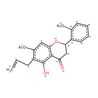 C=CCc1c(OC(C)=O)cc2c(c1O)C(=O)CC(c1ccccc1OC(C)=O)O2